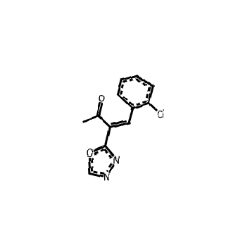 CC(=O)C(=Cc1ccccc1Cl)c1nnco1